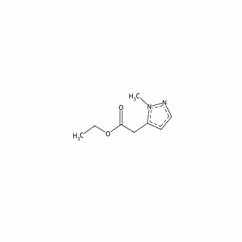 CCOC(=O)Cc1ccnn1C